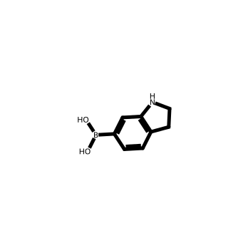 OB(O)c1ccc2c(c1)NCC2